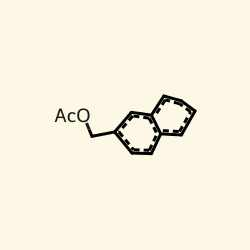 [CH2]C(=O)OCc1ccc2ccccc2c1